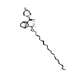 CCCCCCCCCCCCCCCCCOC(=O)C1C2CCC(O2)C1C(=O)N1CCN(C)CC1